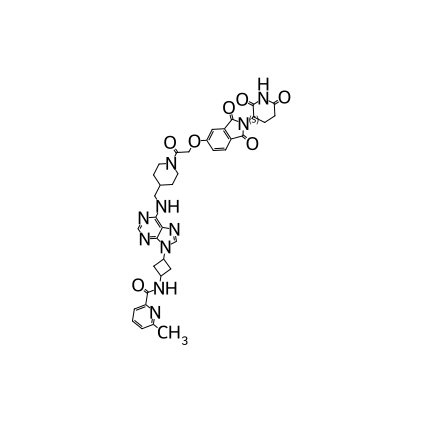 Cc1cccc(C(=O)NC2CC(n3cnc4c(NCC5CCN(C(=O)COc6ccc7c(c6)C(=O)N([C@H]6CCC(=O)NC6=O)C7=O)CC5)ncnc43)C2)n1